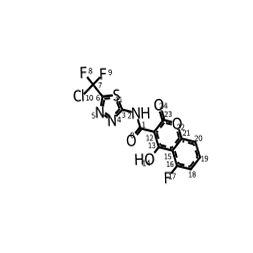 O=C(Nc1nnc(C(F)(F)Cl)s1)c1c(O)c2c(F)cccc2oc1=O